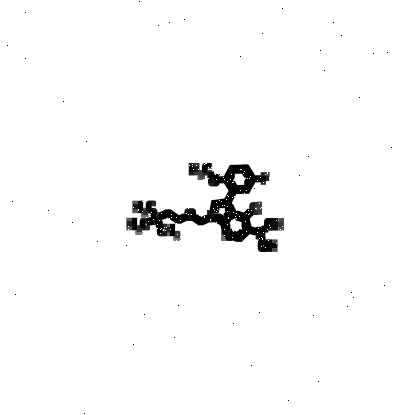 COc1ccc(F)cc1-c1cn(COCC[Si](C)(C)C)c2ncc(B(O)O)c(Cl)c12